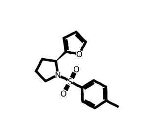 Cc1ccc(S(=O)(=O)N2CCC[C@H]2c2ccco2)cc1